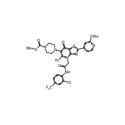 CCc1c(N2CCN(C(=O)OC(C)(C)C)CC2)c(=O)c2sc(-c3ccnc(OC)c3)nc2n1CC(=O)Nc1ccc(C(F)(F)F)cc1Cl